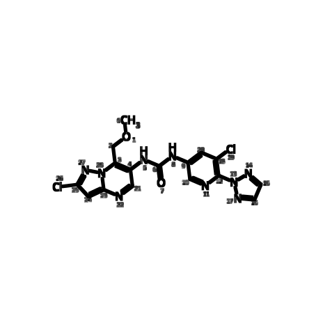 COCc1c(NC(=O)Nc2cnc(-n3nccn3)c(Cl)c2)cnc2cc(Cl)nn12